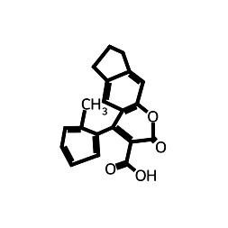 Cc1ccccc1-c1c(C(=O)O)c(=O)oc2cc3c(cc12)CCC3